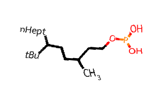 CCCCCCCC(CCC(C)CCOP(O)O)C(C)(C)C